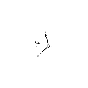 F[B]F.[Co]